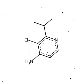 CC(C)c1nccc(N)c1Cl